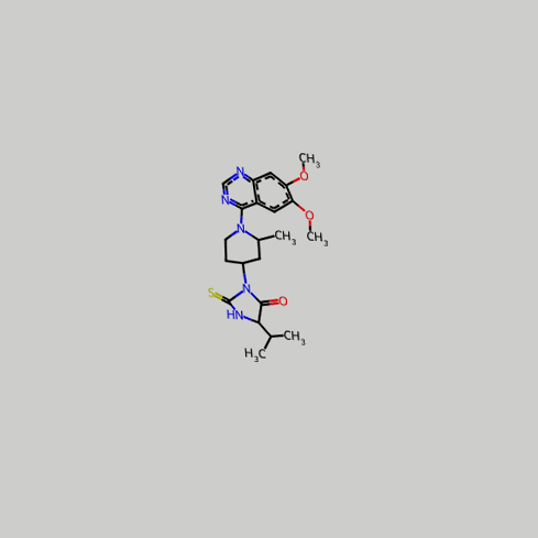 COc1cc2ncnc(N3CCC(N4C(=O)C(C(C)C)NC4=S)CC3C)c2cc1OC